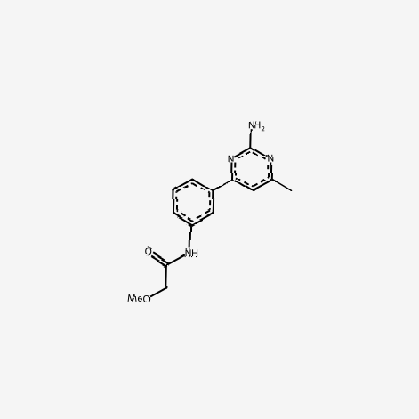 COCC(=O)Nc1cccc(-c2cc(C)nc(N)n2)c1